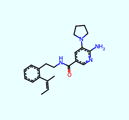 C/C=C(/C)c1ccccc1CCNC(=O)c1cnc(N)c(N2CCCC2)c1